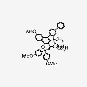 COc1ccc(C2(c3ccc(OC)cc3)C=C(C(=O)O)c3c4c(c5cc(OC)ccc5c3O2)-c2ccc(-c3ccccc3)cc2C4(C)CCC(=O)O)cc1